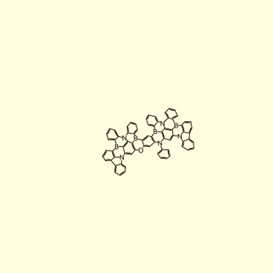 c1ccc(N2c3cc4c(cc3B3c5ccccc5N5c6ccccc6B6c7c(cc2c3c75)-n2c3ccccc3c3cccc6c32)B2c3ccccc3N3c5ccccc5B5c6c(cc(c2c63)O4)-n2c3ccccc3c3cccc5c32)cc1